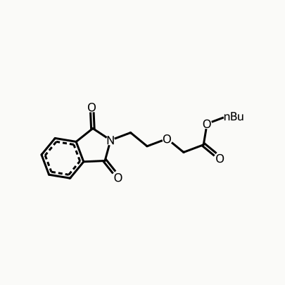 CCCCOC(=O)COCCN1C(=O)c2ccccc2C1=O